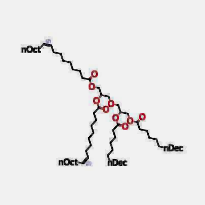 CCCCCCCC/C=C\CCCCCCCC(=O)OCC(COCC(COC(=O)CCCCCCCCCCCCCCC)OC(=O)CCCCCCCCCCCCCCC)OC(=O)CCCCCCC/C=C\CCCCCCCC